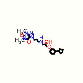 Cn1c(=O)c2c(ncn2CCCNCC(O)COc2cccc(C3C=CCC3)c2)n(C)c1=O